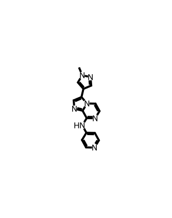 Cn1cc(-c2cnc3c(Nc4ccncc4)nccn23)cn1